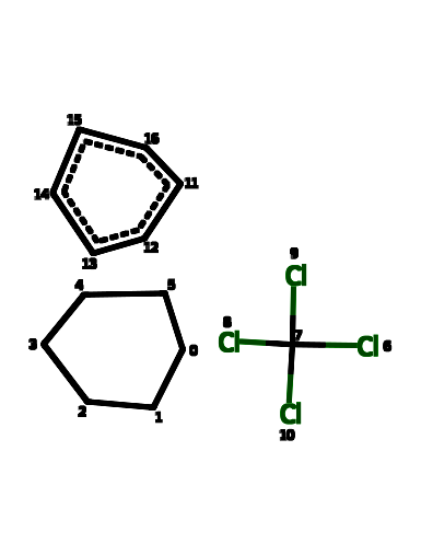 C1CCCCC1.ClC(Cl)(Cl)Cl.c1ccccc1